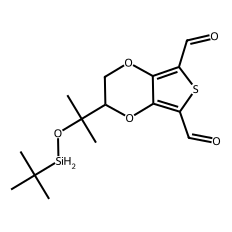 CC(C)(C)[SiH2]OC(C)(C)C1COc2c(C=O)sc(C=O)c2O1